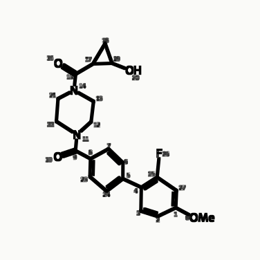 COc1ccc(-c2ccc(C(=O)N3CCN(C(=O)C4CC4O)CC3)cc2)c(F)c1